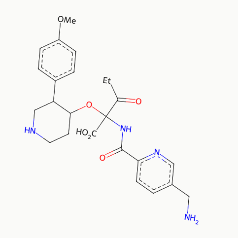 CCC(=O)C(NC(=O)c1ccc(CN)cn1)(OC1CCNCC1c1ccc(OC)cc1)C(=O)O